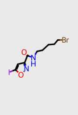 O=C(NCCCCCBr)c1cc(I)on1